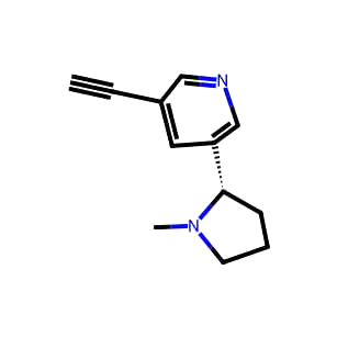 C#Cc1cncc([C@@H]2CCCN2C)c1